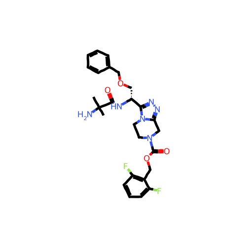 CC(C)(N)C(=O)N[C@H](COCc1ccccc1)c1nnc2n1CCN(C(=O)OCc1c(F)cccc1F)C2